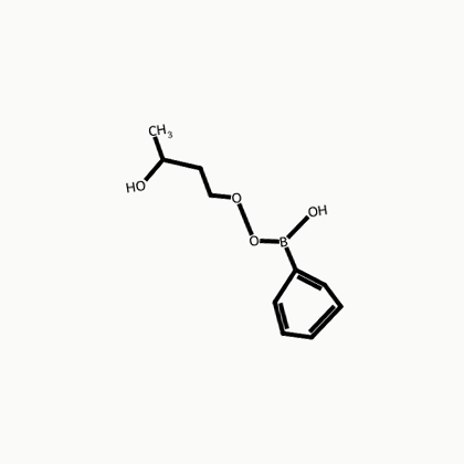 CC(O)CCOOB(O)c1ccccc1